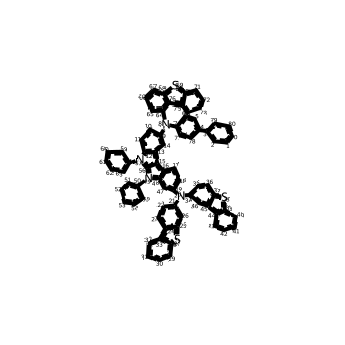 c1ccc(-c2ccc(N(c3ccc4c(c3)c3c5ccc(N(c6ccc7c(c6)sc6ccccc67)c6ccc7sc8ccccc8c7c6)cc5n(-c5ccccc5)c3n4-c3ccccc3)c3cccc4sc5ccccc5c34)cc2)cc1